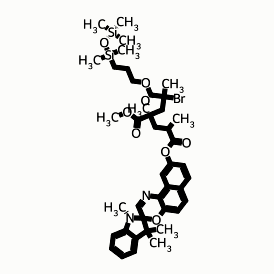 COC(=O)C(C)(CC(C)C(=O)Oc1ccc2ccc3c(c2c1)N=CC1(O3)N(C)c2ccccc2C1(C)C)CC(C)(Br)C(=O)OCCC[Si](C)(C)O[Si](C)(C)C